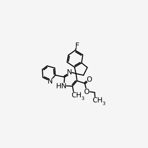 CCOC(=O)C1=C(C)NC(c2ccccn2)=NC12CCc1cc(F)ccc12